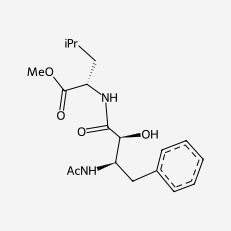 COC(=O)[C@H](CC(C)C)NC(=O)[C@@H](O)[C@@H](Cc1ccccc1)NC(C)=O